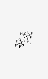 CC(C)(COS(=O)(=O)C(F)(F)F)C(F)(F)F